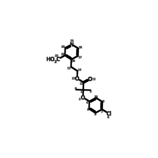 CC(C)(Oc1ccc(Cl)cc1)C(=O)OCCc1ccncc1C(=O)O